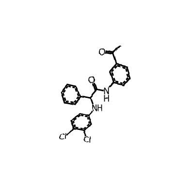 CC(=O)c1cccc(NC(=O)C(Nc2ccc(Cl)c(Cl)c2)c2ccccc2)c1